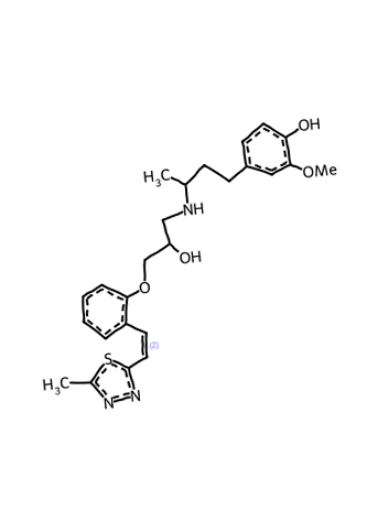 COc1cc(CCC(C)NCC(O)COc2ccccc2/C=C\c2nnc(C)s2)ccc1O